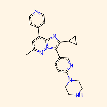 Cc1cc(-c2ccncc2)c2nc(C3CC3)c(-c3ccc(N4CCNCC4)nc3)n2n1